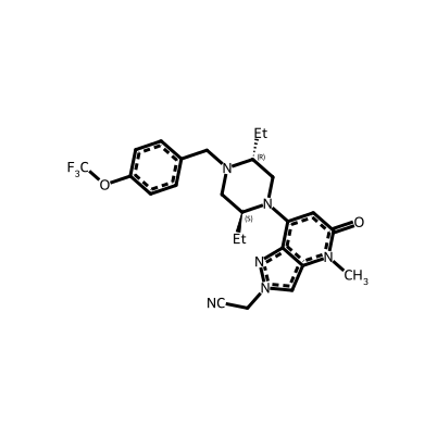 CC[C@@H]1CN(c2cc(=O)n(C)c3cn(CC#N)nc23)[C@@H](CC)CN1Cc1ccc(OC(F)(F)F)cc1